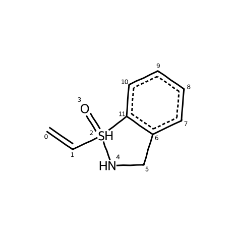 C=C[SH]1(=O)NCc2ccccc21